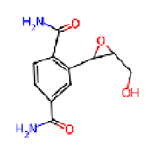 NC(=O)c1ccc(C(N)=O)c(C2OC2CO)c1